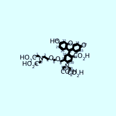 O=C(O)CN(CCOCOCc1cc(-c2c3ccc(=O)cc-3oc3cc(O)ccc23)c(C(=O)O)cc1N(CC(=O)O)CC(=O)O)CC(=O)O